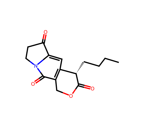 CCCC[C@@H]1C(=O)OCc2c1cc1n(c2=O)CCC1=O